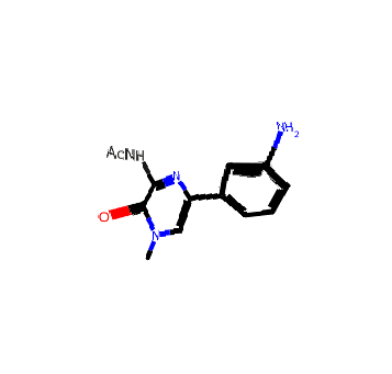 CC(=O)Nc1nc(-c2cccc(N)c2)cn(C)c1=O